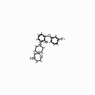 Fc1cccc(Oc2cccc(N3CCC4(CC3)CNCCO4)c2F)c1